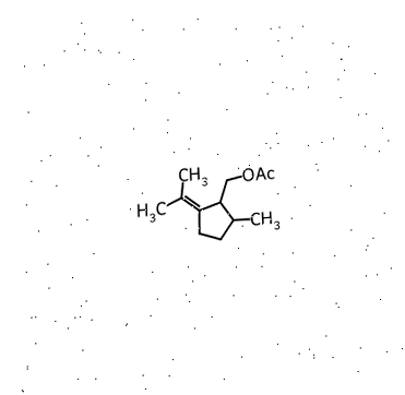 CC(=O)OCC1C(=C(C)C)CCC1C